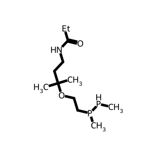 CCC(=O)NCCC(C)(C)OCCP(C)PC